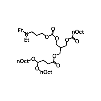 CCCCCCCCOC(CCC(=O)OCC(COC(=O)CCCCCCCC)COC(=O)OCCCN(CC)CC)OCCCCCCCC